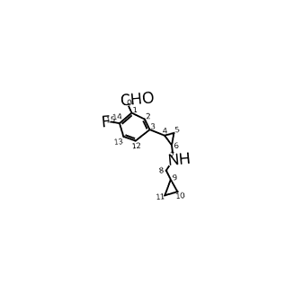 O=Cc1cc(C2CC2NCC2CC2)ccc1F